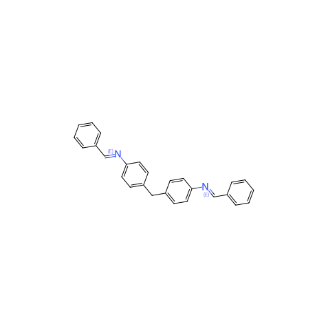 C(=N\c1ccc(Cc2ccc(/N=C/c3ccccc3)cc2)cc1)/c1ccccc1